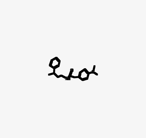 CC(CCNC(=O)Cc1ccc(N(C)C)cc1)c1ccccc1